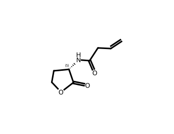 C=CCC(=O)N[C@H]1CCOC1=O